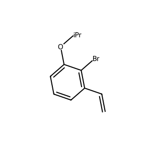 C=Cc1cccc(OC(C)C)c1Br